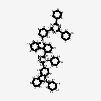 c1ccc(-c2nc(-c3ccccc3)nc(-c3cccc(-n4c5ccccc5c5c(-c6nnc(-c7ccc8c(c7)c7ccccc7n8-c7ccccc7)n6-c6ccccc6)cccc54)c3)n2)cc1